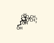 CC1(C)O[C@H]2OC[C@](O)(CCCO)[C@H]2O1